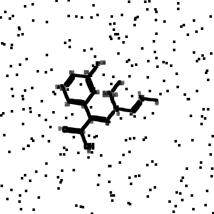 CN=CN(/C=C(/C(=O)O)c1cncc(F)c1)NC